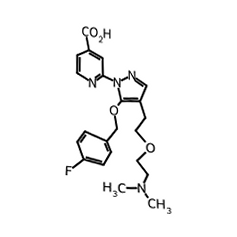 CN(C)CCOCCc1cnn(-c2cc(C(=O)O)ccn2)c1OCc1ccc(F)cc1